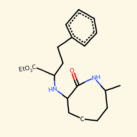 CCOC(=O)C(CCc1ccccc1)NC1CCCCC(C)NC1=O